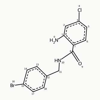 Nc1cc(Cl)ccc1C(=O)NCc1ccc(Br)cc1